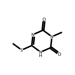 CSc1nc(=O)n(C)c(=O)[nH]1